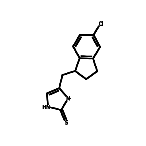 S=C1[N]C(CC2CCc3cc(Cl)ccc32)=CN1